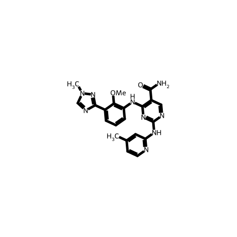 COc1c(Nc2nc(Nc3cc(C)ccn3)ncc2C(N)=O)cccc1-c1ncn(C)n1